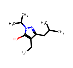 CCc1c(CC(C)C)nn(C(C)C)c1O